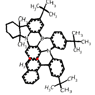 Cc1cc2c3c(c1)N1c4c(cc(C(C)(C)C)cc4C4(C)CCCCC14C)B3c1ccc(C(C)(C)C)cc1N2c1ccc(C(C)(C)C)cc1-c1cccc2ccccc12